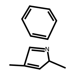 CC1=CC(C)N=C1.c1ccccc1